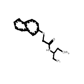 CCC(CC)NC(=O)COc1ccc2ccccc2c1